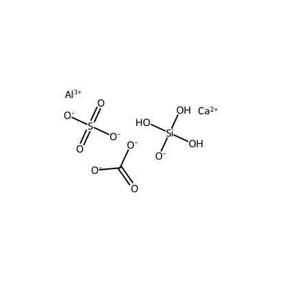 O=C([O-])[O-].O=S(=O)([O-])[O-].[Al+3].[Ca+2].[O-][Si](O)(O)O